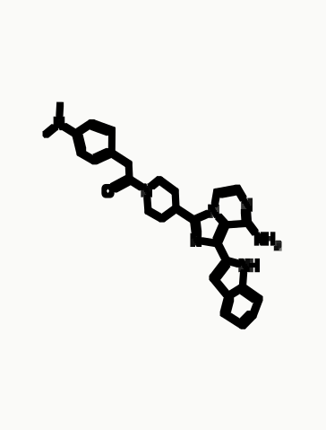 CN(C)c1ccc(CC(=O)N2CCC(c3nc(-c4cc5ccccc5[nH]4)c4c(N)nccn34)CC2)cc1